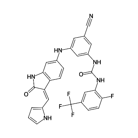 N#Cc1cc(NC(=O)Nc2cc(C(F)(F)F)ccc2F)cc(Nc2ccc3c(c2)NC(=O)C3=Cc2ccc[nH]2)c1